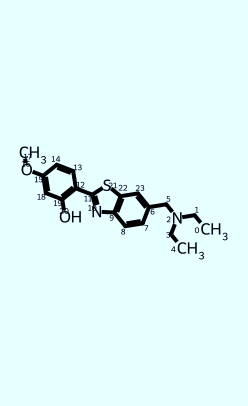 CCN(CC)Cc1ccc2nc(-c3ccc(OC)cc3O)sc2c1